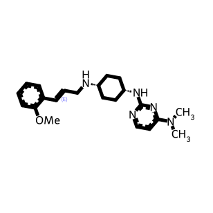 COc1ccccc1/C=C/CN[C@H]1CC[C@@H](Nc2nccc(N(C)C)n2)CC1